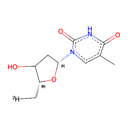 [2H]C[C@H]1O[C@@H](n2cc(C)c(=O)[nH]c2=O)CC1O